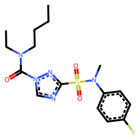 CCCCN(CC)C(=O)n1cnc(S(=O)(=O)N(C)c2ccc(F)cc2)n1